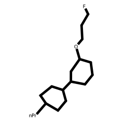 CCCC1CCC(C2CCCC(OCCCF)C2)CC1